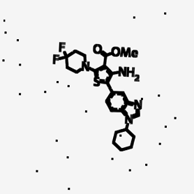 COC(=O)c1c(N2CCC(F)(F)CC2)sc(-c2ccc3c(c2)ncn3C2CCCCC2)c1N